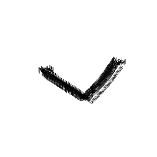 B.B.B.B.B.B.B.B.B.B.B.B.B.B.B.B.B.B.B.B.B.B.B.B.B.B.B.B.B.B.B.B.B.B.B.B.B.B.B.B.B.B.B.B.B.B.B.B.B.B.B.B.B.B.B.B.[NaH].[NaH].[NaH].[NaH].[NaH]